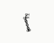 C[C@@]12CN(C(=O)NCCO)C[C@]1(C)CN(c1ccc(N3CCN(S(C)(=O)=O)CC3)cc1)C2